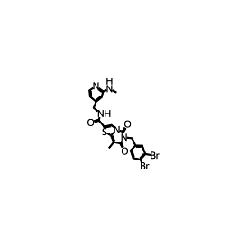 CNc1cc(CNC(=O)c2cn3c(=O)n(Cc4ccc(Br)c(Br)c4)c(=O)c(C)c3s2)ccn1